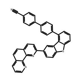 N#Cc1ccc(-c2ccc(-c3cccc4sc5ccc(-c6ccc7ccc8cccnc8c7n6)cc5c34)cc2)cc1